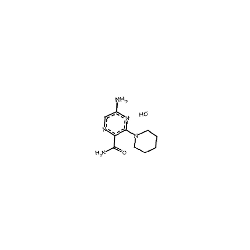 Cl.NC(=O)c1ncc(N)nc1N1CCCCC1